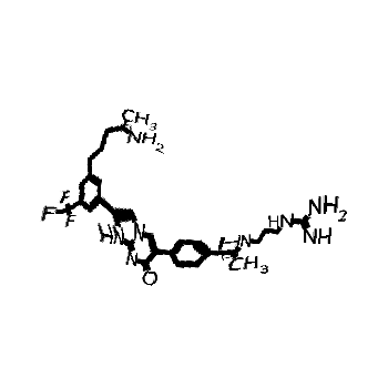 C[C@H](N)CCCc1cc(-c2cn3cc(-c4ccc([C@H](C)NCCCNC(=N)N)cc4)c(=O)nc3[nH]2)cc(C(F)(F)F)c1